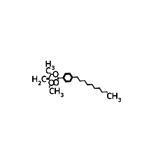 C=C(OCC)C(C)OC(=O)c1ccc(CCCCCCCCCC)cc1